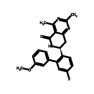 COc1cccc(-c2cc(F)ccc2[C@H]2Cc3nc(C)nc(C)c3C(=O)N2)c1